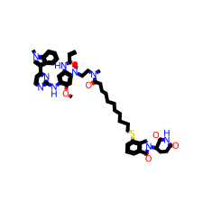 C=CC(=O)Nc1cc(Nc2nccc(-c3cn(C)c4ccccc34)n2)c(OC)cc1N(C)CCN(C)C(=O)CCCCCCCCCCSc1cccc2c1CN(C1CCC(=O)NC1=O)C2=O